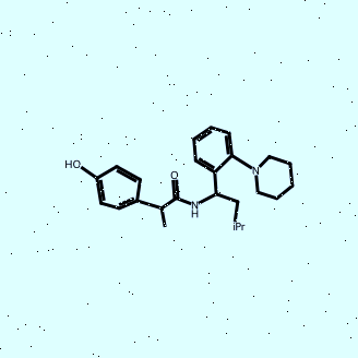 CC(C)CC(NC(=O)C(C)c1ccc(O)cc1)c1ccccc1N1CCCCC1